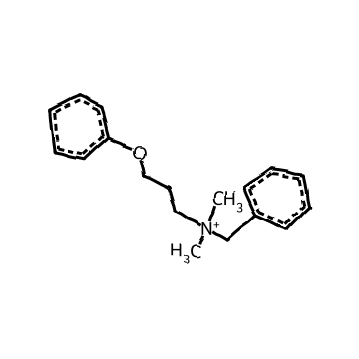 C[N+](C)(CCCOc1ccccc1)Cc1ccccc1